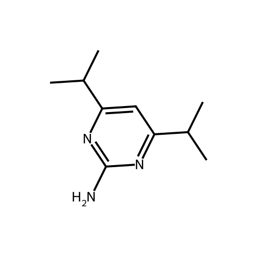 CC(C)c1cc(C(C)C)nc(N)n1